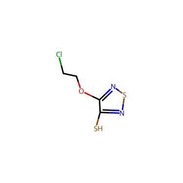 Sc1nsnc1OCCCl